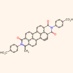 C=c1c2ccc3c4c#cc5c6c(ccc(c7ccc(c(=O)n1-c1ccc(C(=O)O)cc1)c2c37)c64)C(=O)N(c1ccc(C(=O)O)cc1)C5=O